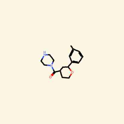 Cc1cccc(C2CC(C(=O)N3CCNCC3)CCO2)c1